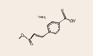 COC(=O)C=Cc1ccc(C(=O)O)cc1.[NaH]